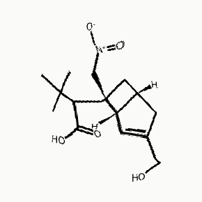 CC(C)(C)C(C(=O)O)[C@]1(C[N+](=O)[O-])C[C@@H]2CC(CO)=C[C@@H]21